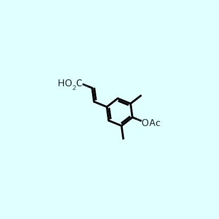 CC(=O)Oc1c(C)cc(C=CC(=O)O)cc1C